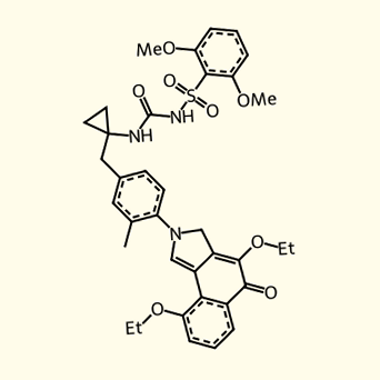 CCOC1=C2CN(c3ccc(CC4(NC(=O)NS(=O)(=O)c5c(OC)cccc5OC)CC4)cc3C)C=C2c2c(OCC)cccc2C1=O